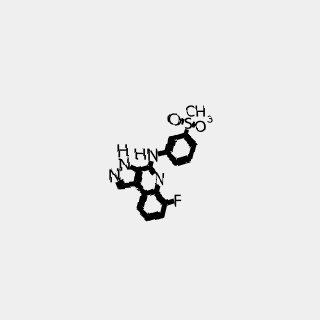 CS(=O)(=O)c1cccc(Nc2nc3c(F)cccc3c3cn[nH]c23)c1